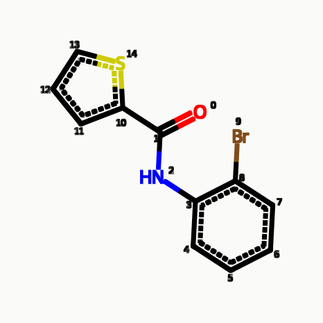 O=C(Nc1ccccc1Br)c1cccs1